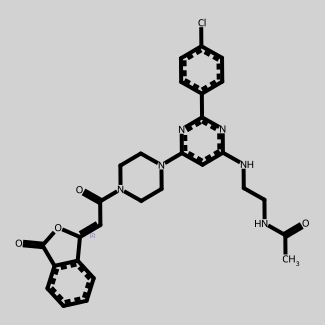 CC(=O)NCCNc1cc(N2CCN(C(=O)/C=C3\OC(=O)c4ccccc43)CC2)nc(-c2ccc(Cl)cc2)n1